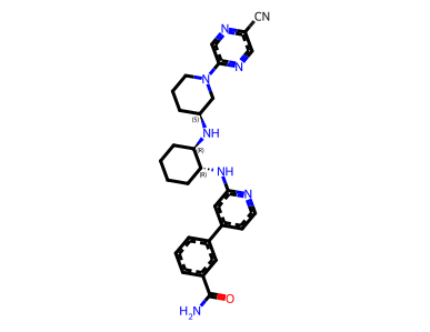 N#Cc1cnc(N2CCC[C@H](N[C@@H]3CCCC[C@H]3Nc3cc(-c4cccc(C(N)=O)c4)ccn3)C2)cn1